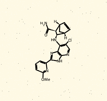 COc1cccc(-c2nc3c(N[C@H]4[C@@H](C(N)=O)[C@@H]5C=C[C@H]4C5)c(Cl)cnc3[nH]2)n1